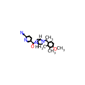 COc1ccc([C@H](C)N2C[C@@H]3C[C@H]2CN3C(=O)c2ccc(C#N)nc2)c(C)c1C